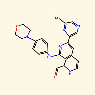 Cc1cncc(-c2cc3c(c(Nc4ccc(N5CCOCC5)cc4)n2)C(C=O)NC=C3)n1